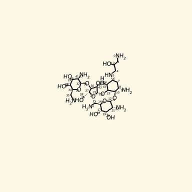 NCC(O)CN[C@@H]1C[C@H](N)[C@@H](O[C@H]2O[C@H](CN)[C@@H](O)[C@@H](O)[C@H]2N)C(O[C@@H]2O[C@H](CO)[C@@H](O[C@H]3O[C@@H](CN)[C@@H](O)[C@H](O)[C@H]3N)[C@H]2O)[C@H]1O